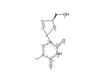 Cc1cn(C2C=C[C@@H](CO)O2)c(=O)[nH]c1=O